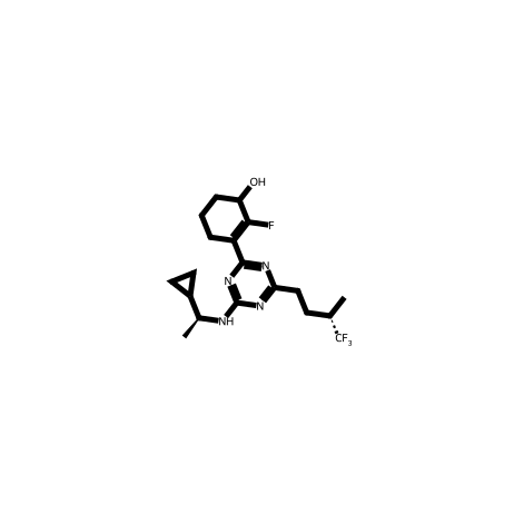 C[C@H](Nc1nc(CC[C@H](C)C(F)(F)F)nc(C2=C(F)C(O)CCC2)n1)C1CC1